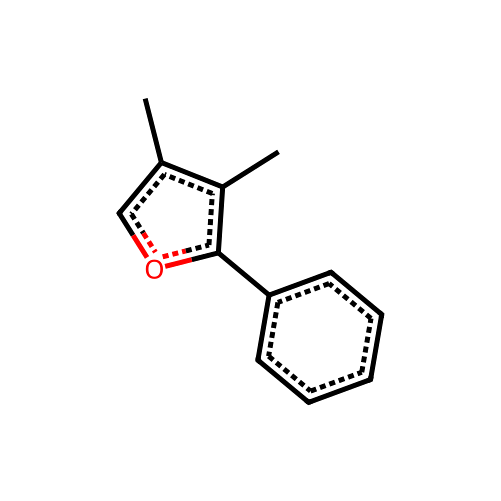 Cc1coc(-c2ccccc2)c1C